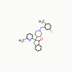 Cc1cccc(C2(C3CCN(Cc4cc(F)ccc4C)CC3)Cc3ccccc3C2=O)n1